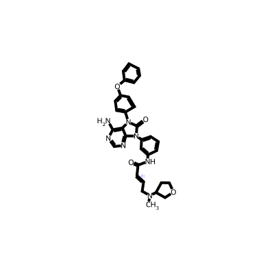 CN(C/C=C/C(=O)Nc1cccc(-n2c(=O)n(-c3ccc(Oc4ccccc4)cc3)c3c(N)ncnc32)c1)C1CCOC1